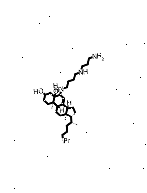 CC(C)CCC[C@@H](C)[C@H]1CC[C@H]2C3=CC(NCCCCNCCCN)C4(O)CC(O)CC[C@]4(C)[C@H]3CC[C@]12C